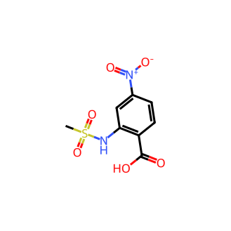 CS(=O)(=O)Nc1cc([N+](=O)[O-])ccc1C(=O)O